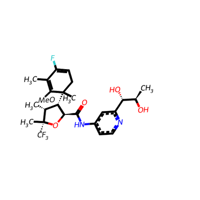 COC1=C(C)C(F)=CCC1(C)[C@@H]1[C@@H](C(=O)Nc2ccnc([C@H](O)[C@@H](C)O)c2)O[C@](C)(C(F)(F)F)[C@@H]1C